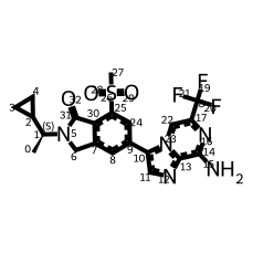 C[C@@H](C1CC1)N1Cc2cc(-c3cnc4c(N)nc(C(F)(F)F)cn34)cc(S(C)(=O)=O)c2C1=O